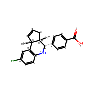 O=C(O)c1ccc([C@@H]2Nc3ccc(Cl)cc3[C@@H]3C=CC[C@@H]32)cc1